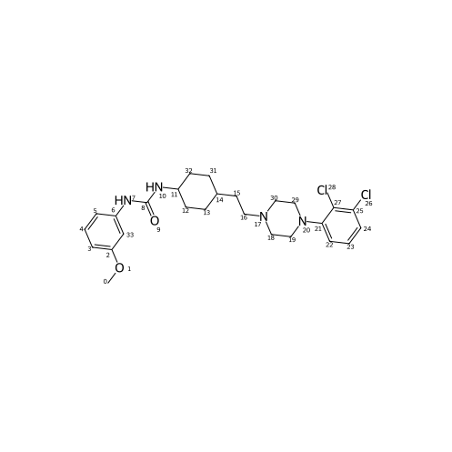 COc1cccc(NC(=O)NC2CCC(CCN3CCN(c4cccc(Cl)c4Cl)CC3)CC2)c1